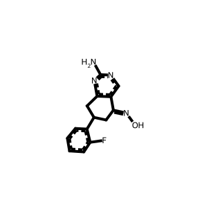 Nc1ncc2c(n1)CC(c1ccccc1F)CC2=NO